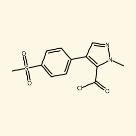 Cn1ncc(-c2ccc(S(C)(=O)=O)cc2)c1C(=O)Cl